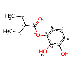 CCC(CC)C(=O)Oc1cccc(O)c1O